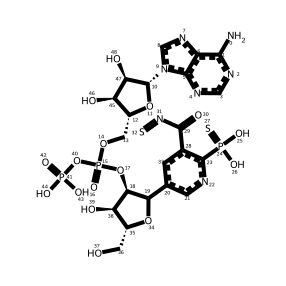 Nc1ncnc2c1ncn2[C@@H]1O[C@H](COP(=O)(O[C@H]2C(c3cnc(P(O)(O)=S)c(C(=O)N=S)c3)O[C@H](CO)[C@H]2O)OP(=O)(O)O)[C@@H](O)[C@H]1O